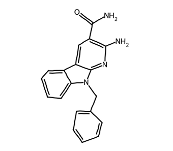 NC(=O)c1cc2c3ccccc3n(Cc3ccccc3)c2nc1N